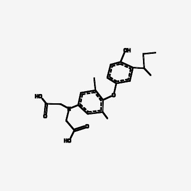 CCC(C)c1cc(Oc2c(C)cc(N(CC(=O)O)CC(=O)O)cc2C)ccc1O